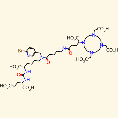 O=C(O)CC[C@H](NC(=O)N[C@@H](CCCCN(Cc1ccc(Br)nc1)C(=O)CCCCNC(=O)CCC(C(=O)O)N1CCN(CC(=O)O)CCN(CC(=O)O)CCN(CC(=O)O)CC1)C(=O)O)C(=O)O